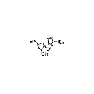 CCCN1CC(O)[N+]([O-])(c2nnc(C(C)(C)C)s2)C1